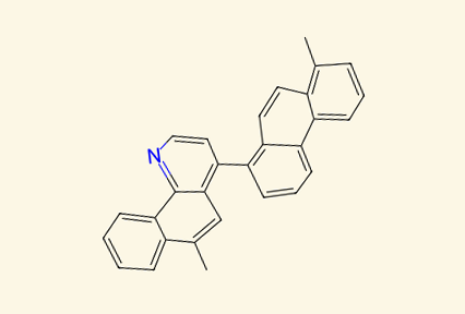 Cc1cccc2c1ccc1c(-c3ccnc4c3cc(C)c3ccccc34)cccc12